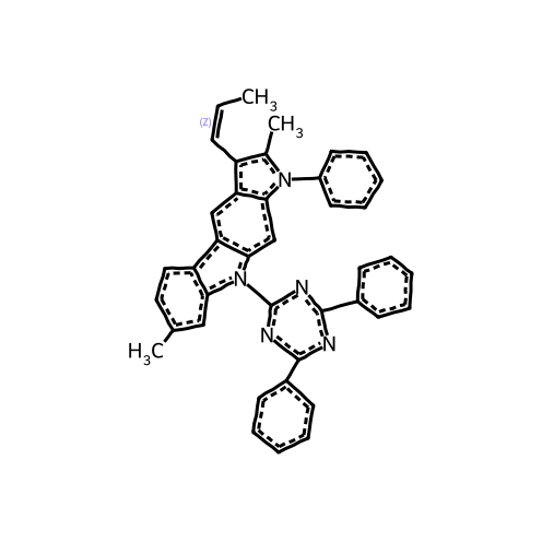 C/C=C\c1c(C)n(-c2ccccc2)c2cc3c(cc12)c1ccc(C)cc1n3-c1nc(-c2ccccc2)nc(-c2ccccc2)n1